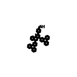 N=Cc1ccc(-c2cc(-c3ccc4c5ccccc5c5ccccc5c4c3)c3cc(-c4ccc5c6ccccc6c6ccccc6c5c4)c4ccccc4c3n2)cc1